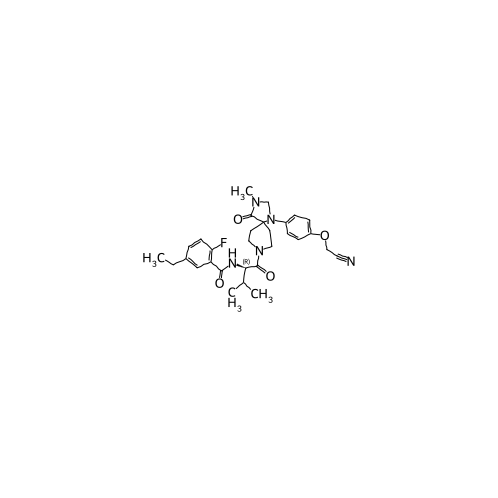 CCc1ccc(F)c(C(=O)N[C@@H](C(=O)N2CCC3(CC2)C(=O)N(C)CN3c2ccc(OCC#N)cc2)C(C)C)c1